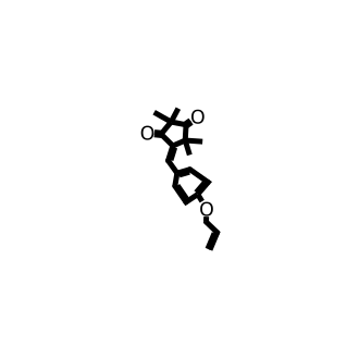 C=CCOc1ccc(C=C2C(=O)C(C)(C)C(=O)C2(C)C)cc1